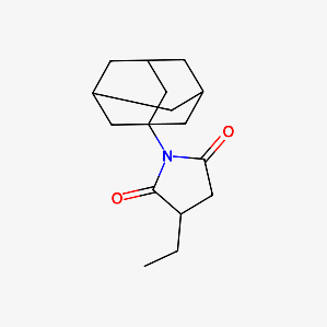 CCC1CC(=O)N(C23CC4CC(CC(C4)C2)C3)C1=O